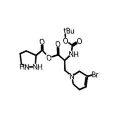 CC(C)(C)OC(=O)NC(CN1CCC=C(Br)C1)C(=O)OC(=O)C1CCCNN1